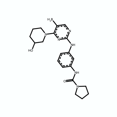 Bc1cnc(Nc2cccc(NC(=O)N3CCCC3)c2)nc1N1CCCC(O)C1